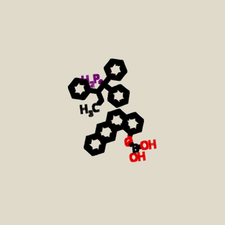 CCC(c1ccccc1)C(P)(c1ccccc1)c1ccccc1.OB(O)Oc1cccc2ccc3cc4ccccc4cc3c12